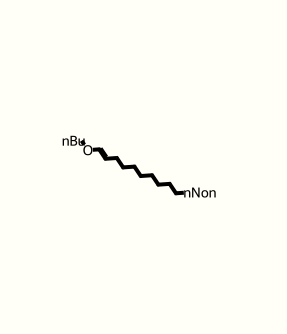 CCCCCCCCCCCCCCCCCC=COCCCC